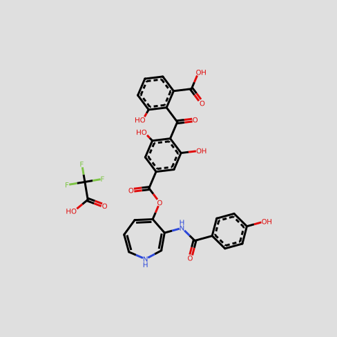 O=C(NC1=CNC=CC=C1OC(=O)c1cc(O)c(C(=O)c2c(O)cccc2C(=O)O)c(O)c1)c1ccc(O)cc1.O=C(O)C(F)(F)F